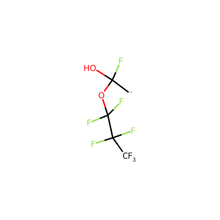 [CH2]C(O)(F)OC(F)(F)C(F)(F)C(F)(F)F